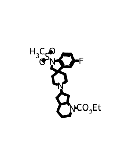 CCOC(=O)N1CCCC2CC(N3CCC4(CC3)CN(S(C)(=O)=O)c3ccc(F)cc34)CC21